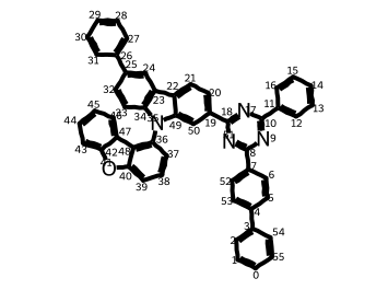 c1ccc(-c2ccc(-c3nc(-c4ccccc4)nc(-c4ccc5c6cc(-c7ccccc7)ccc6n(-c6cccc7oc8ccccc8c67)c5c4)n3)cc2)cc1